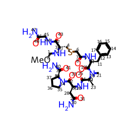 COCN[C@@H](CSCC(=O)N[C@@H](Cc1ccccc1)C(=O)N(C)[C@@H](C)C(=O)N[C@@H](CC(N)=O)C(=O)N1CCC[C@H]1C(N)=O)C(=O)NCC(N)=O